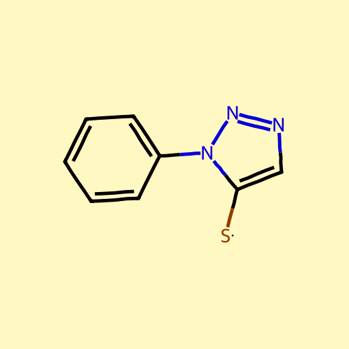 [S]c1cnnn1-c1ccccc1